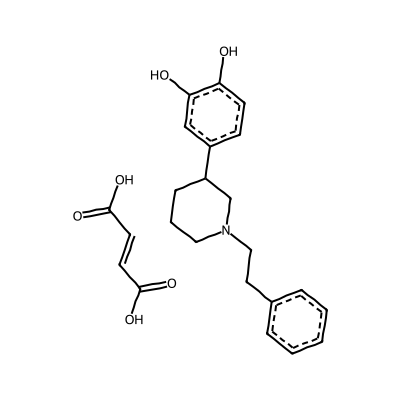 O=C(O)/C=C/C(=O)O.Oc1ccc(C2CCCN(CCc3ccccc3)C2)cc1O